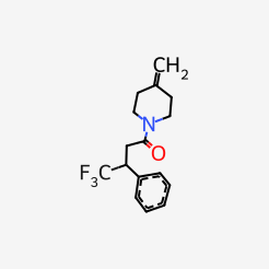 C=C1CCN(C(=O)CC(c2ccccc2)C(F)(F)F)CC1